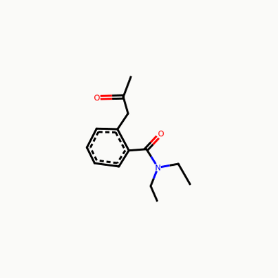 CCN(CC)C(=O)c1ccccc1CC(C)=O